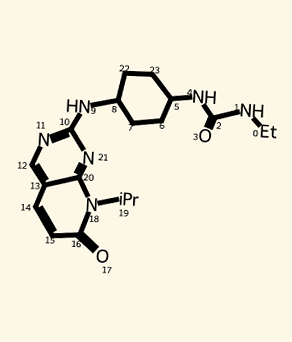 CCNC(=O)NC1CCC(Nc2ncc3ccc(=O)n(C(C)C)c3n2)CC1